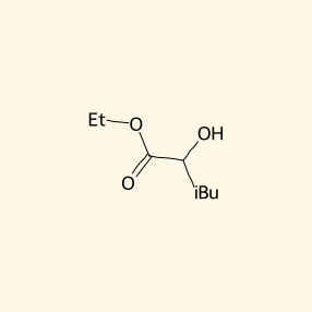 CCOC(=O)C(O)C(C)CC